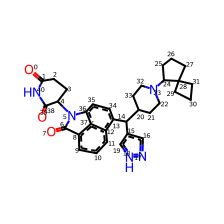 O=C1CCC(N2C(=O)c3cccc4c(C(c5cn[nH]c5)C5CCN(C6CCCC67CCC7)CC5)ccc2c34)C(=O)N1